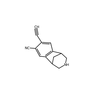 C#Cc1cc2c(cc1C#N)C1CNCC2C1